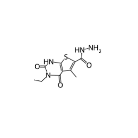 CCn1c(=O)[nH]c2sc(C(=O)NN)c(C)c2c1=O